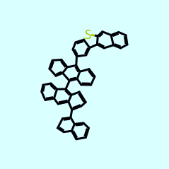 c1ccc2cc3c(cc2c1)sc1ccc(-c2c4ccccc4c(-c4c5ccccc5cc5c(-c6cccc7ccccc67)cccc45)c4ccccc24)cc13